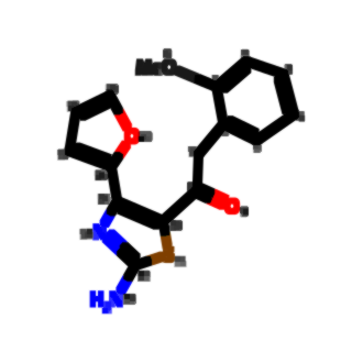 COc1ccccc1CC(=O)c1sc(N)nc1-c1ccco1